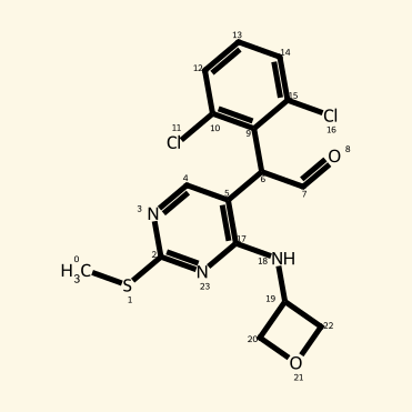 CSc1ncc(C(C=O)c2c(Cl)cccc2Cl)c(NC2COC2)n1